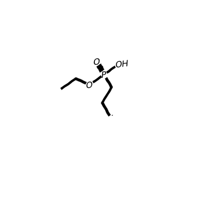 [CH2]CCP(=O)(O)OCC